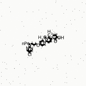 CCCN(CCCOC1=CCN(C2C=CC(N3CCC(O)C3=O)=C(C)N2C)C=C1)c1ncc(Cl)cn1